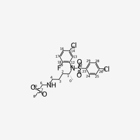 C[C@H](CCCNCS(C)(=O)=O)N(c1cc(Cl)ccc1F)S(=O)(=O)c1ccc(Cl)cc1